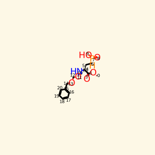 COC(=O)[C@H](CC[PH](=O)O)NOCOCc1ccccc1